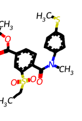 CCOC(=O)c1ccc(C(=O)N(C)c2ccc(SC)cc2)c(S(=O)(=O)CC)c1